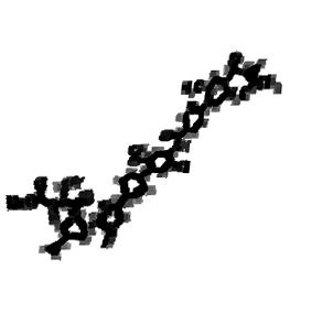 COC(=O)N[C@H](C(=O)N1CC(C2CC2)=C[C@H]1c1nc(-c2ccc(-c3cc(Cl)c(NC(=O)c4ccc(N5CCN(C(=O)[C@H]6CC6(C)C)C[C@H]5C)nc4)cc3OC(F)(F)F)cc2)c[nH]1)C(C)C